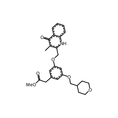 COC(=O)Cc1cc(OCc2[nH]c3ccccc3c(=O)c2C)cc(OCC2CCOCC2)c1